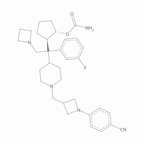 N#Cc1ccc(N2CC(CN3CCC(C(CN4CCC4)(c4cccc(F)c4)[C@H]4CCC[C@@H]4OC(N)=O)CC3)C2)cc1